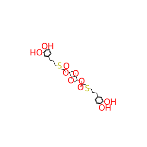 O=C(CSCCCc1ccc(O)c(O)c1)O[C@H]1COC2C1OC[C@H]2OC(=O)CSCCCc1ccc(O)c(O)c1